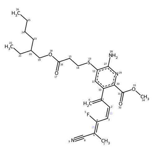 C=C(/C=C\C(F)=C(/C)C#N)c1cc(SCCC(=O)OCC(CC)CCCC)c(N)nc1C(=O)OC